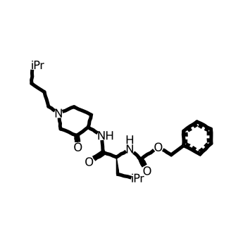 CC(C)CCCN1CCC(NC(=O)[C@H](CC(C)C)NC(=O)OCc2ccccc2)C(=O)C1